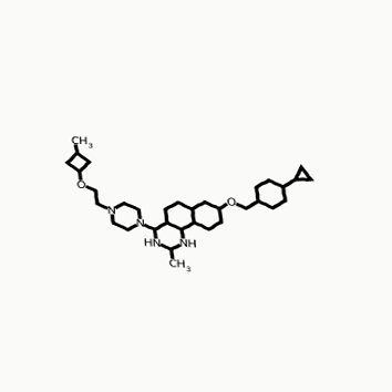 CC1CC(OCCN2CCN(C3NC(C)NC4C5CCC(OCC6CCC(C7CC7)CC6)CC5CCC43)CC2)C1